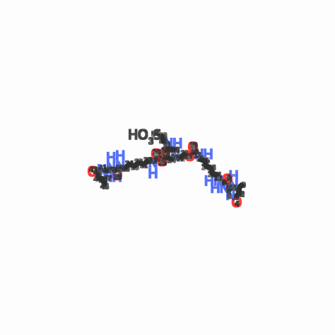 Cc1cc(=O)nc(NC(=O)NCCCCCCNC(=O)OCCN(CCOC(=O)NCCCCCCNC(=O)Nc2nc(=O)cc(C)[nH]2)CC(=O)NCCS(=O)(=O)O)[nH]1